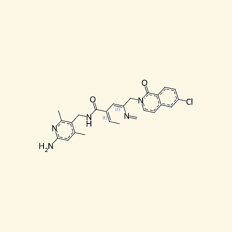 C=N/C(=C\C(=C/C)C(=O)NCc1c(C)cc(N)nc1C)Cn1ccc2cc(Cl)ccc2c1=O